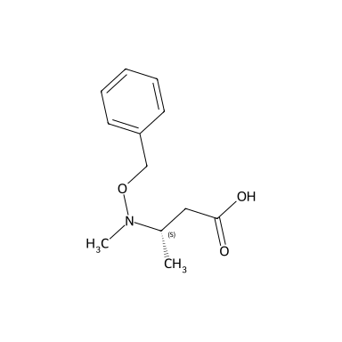 C[C@@H](CC(=O)O)N(C)OCc1ccccc1